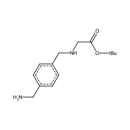 CC(C)(C)OC(=O)CNCc1ccc(CN)cc1